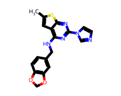 Cc1cc2c(NCc3ccc4c(c3)OCO4)nc(-n3ccnc3)nc2s1